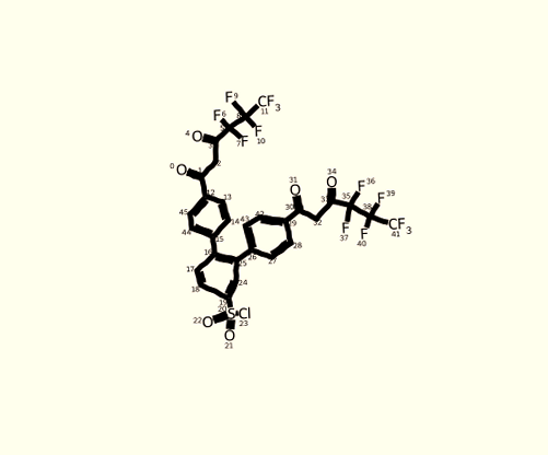 O=C(CC(=O)C(F)(F)C(F)(F)C(F)(F)F)c1ccc(-c2ccc(S(=O)(=O)Cl)cc2-c2ccc(C(=O)CC(=O)C(F)(F)C(F)(F)C(F)(F)F)cc2)cc1